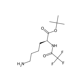 CC(C)(C)OC(=O)[C@H](CCCCN)NC(=O)C(F)(F)F